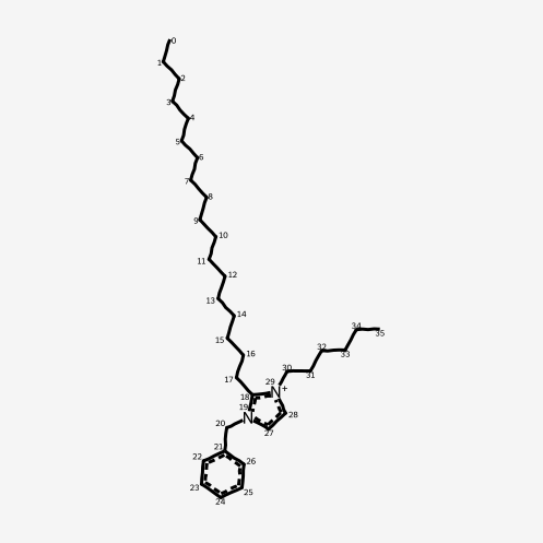 CCCCCCCCCCCCCCCCCCc1n(Cc2ccccc2)cc[n+]1CCCCCC